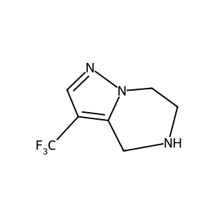 FC(F)(F)c1cnn2c1CNCC2